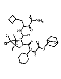 NC(=O)C(=O)C(CC1CCC1)NC(=O)[C@@H]1[C@@H]2[C@H](CN1C(=O)[C@@H](NC(=O)OC1CC3CCC1CC3)C1CCCCC1)C2(Cl)Cl